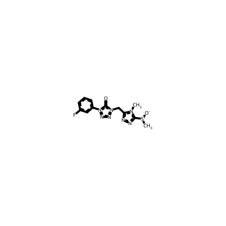 Cn1c(Cn2nnn(-c3cccc(F)c3)c2=O)nnc1[S+](C)[O-]